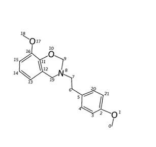 COc1ccc(CCN2COc3c(cccc3OC)C2)cc1